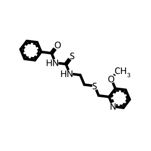 COc1cccnc1CSCCNC(=S)NC(=O)c1ccccc1